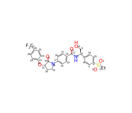 CCS(=O)(=O)c1ccc([C@H](CO)NC(=O)c2ccc(N3CCC(Oc4ccc(C(F)(F)F)cc4)C3=O)cc2)cc1